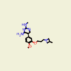 CNc1ncc(-c2ccc(OC)c(OCCCN3CC(C)C3)c2)c(N)n1